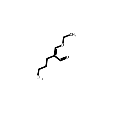 CCCCC(C=O)=COCC